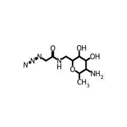 CC1OC(CNC(=O)CN=[N+]=[N-])C(O)C(O)C1N